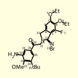 CCOc1cc2c(c(F)c1OCC)/C(=N/Br)N(CC(=O)c1cc(N)c(OC)c(C(C)(C)C)c1)C2